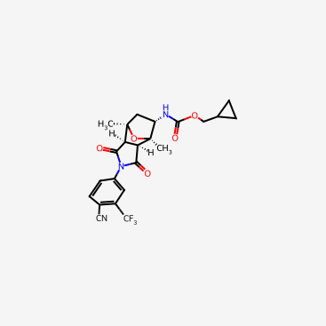 C[C@]12O[C@](C)(C[C@@H]1NC(=O)OCC1CC1)[C@@H]1C(=O)N(c3ccc(C#N)c(C(F)(F)F)c3)C(=O)[C@@H]12